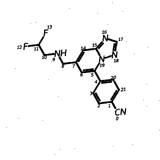 N#Cc1ccc(-c2cc(CNCC(F)F)cc3ncnn23)cc1